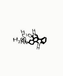 CCN(C)NC1CCc2c(c3c(c4c2[nH]c2ccccc24)CNC3=O)C1